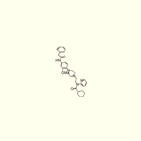 COc1cc(NC(=O)Cc2ccccc2)ccc1N1CCN(CCN(C(=O)C2CCCCC2)c2ccccn2)CC1